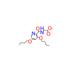 CCCCOc1cnc(C(=O)NCC(=O)OC)c(OCCCC)c1